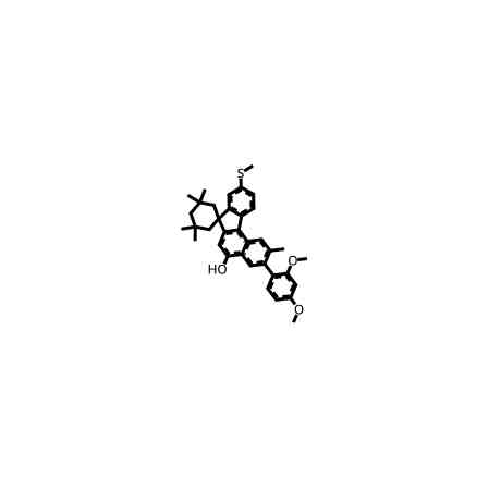 COc1ccc(-c2cc3c(O)cc4c(c3cc2C)-c2ccc(SC)cc2C42CC(C)(C)CC(C)(C)C2)c(OC)c1